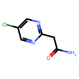 NC(=O)[CH]c1ncc(Cl)cn1